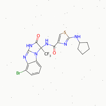 O=C(NC1(C(F)(F)F)C(=O)Nc2nc3c(Br)cccc3n21)c1csc(NC2CCCC2)n1